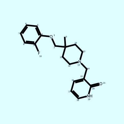 CC1(COc2ccccc2F)CCN(Cc2ccc[nH]c2=O)CC1